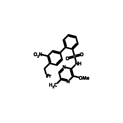 COc1nc(C)cnc1NS(=O)(=O)c1ccccc1-c1ccc(CC(C)C)c([N+](=O)[O-])c1